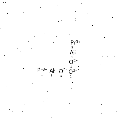 [Al].[Al].[O-2].[O-2].[O-2].[Pr+3].[Pr+3]